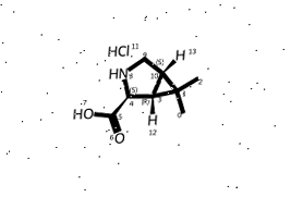 CC1(C)[C@@H]2[C@@H](C(=O)O)NC[C@@H]21.Cl